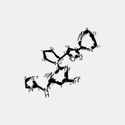 CCc1cc(Nc2nccs2)nc(N2CCCC2c2cc(-c3ncccn3)no2)n1